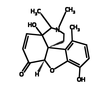 Cc1ccc(O)c2c1[C@]13CCN(C)C(C)C1(O)C=CC(=O)[C@@H]3O2